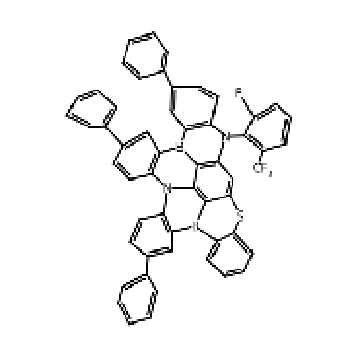 Fc1cccc(C(F)(F)F)c1N1c2ccc(-c3ccccc3)cc2B2c3cc(-c4ccccc4)ccc3N3c4ccc(-c5ccccc5)cc4B4c5ccccc5Sc5cc1c2c3c54